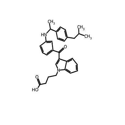 CC(C)Cc1ccc(C(C)Nc2cccc(C(=O)c3cn(CCCC(=O)O)c4ccccc34)c2)cc1